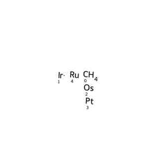 C.[Ir].[Os].[Pt].[Ru]